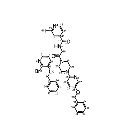 Brc1ncccc1OCc1ccccc1.O=C(NCC(=O)N1CCN(c2ccc(OCc3ccccc3)cn2)CC1)c1ccnc(I)c1